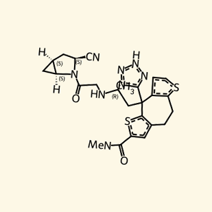 CNC(=O)c1cc2c(s1)C(C[C@@H](C)NCC(=O)N1[C@H](C#N)C[C@@H]3C[C@@H]31)(c1nn[nH]n1)c1ccsc1CC2